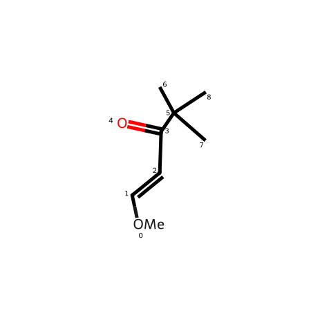 CO/C=C/C(=O)C(C)(C)C